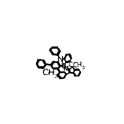 Cc1ccccc1-c1cc2c3c(c1)N(c1ccccc1)c1ccccc1B3n1c3c(c4cccc-2c41)-c1ccccc1C3(C)C